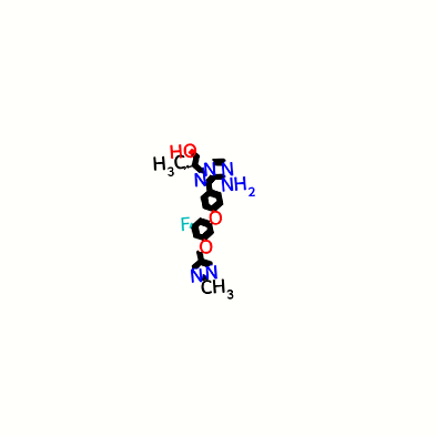 CC[C@H](CO)c1nc(-c2ccc(Oc3cc(F)cc(OCc4cnc(C)nc4)c3)cc2)c2c(N)nccn12